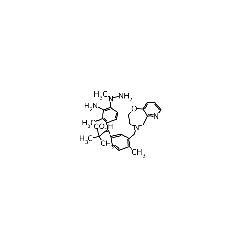 Cc1ccc(C(c2ccc(N(C)N)c(N)c2C)C(C)(C)C(=O)O)cc1CN1CCOc2cccnc2C1